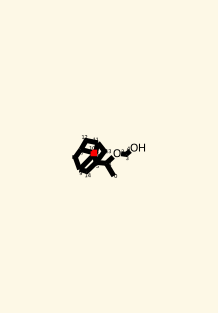 CC(OCO)C12CC3CC(CC(C3)C1)C2